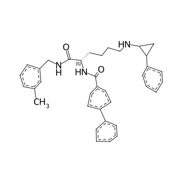 Cc1cccc(CNC(=O)[C@H](CCCCNC2CC2c2ccccc2)NC(=O)c2ccc(-c3ccccc3)cc2)c1